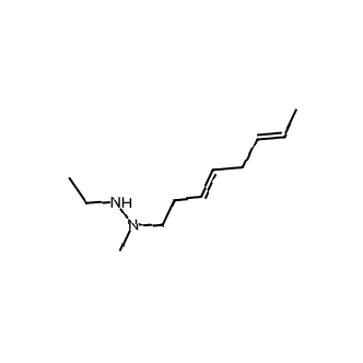 C/C=C/C/C=C/CCN(C)NCC